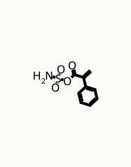 C=C(C(=O)OS(N)(=O)=O)c1ccccc1